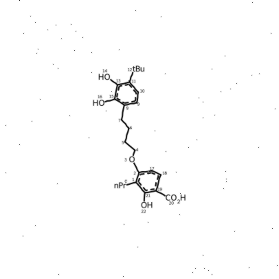 CCCc1c(OCCCCc2ccc(C(C)(C)C)c(O)c2O)ccc(C(=O)O)c1O